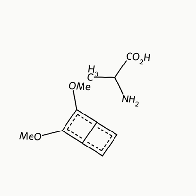 CC(N)C(=O)O.COc1c2ccc-2c1OC